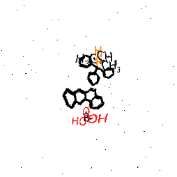 C[PH](C)(C)C(c1ccccc1)(c1ccccc1)c1ccccc1.OB(O)Oc1cccc2ccc3cc4ccccc4cc3c12